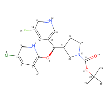 Cc1cc(Cl)cnc1O[C@@H](c1cncc(F)c1)C1CCN(C(=O)OC(C)(C)C)C1